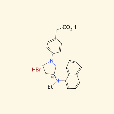 Br.CCN(c1cccc2ccccc12)[C@H]1CCN(c2ccc(CC(=O)O)cc2)C1